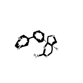 NC1=N[C@@]2(c3cccc(-c4cncnc4)c3)COC[C@H]2CS1